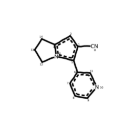 N#Cc1cc2n(c1-c1cccnc1)CCC2